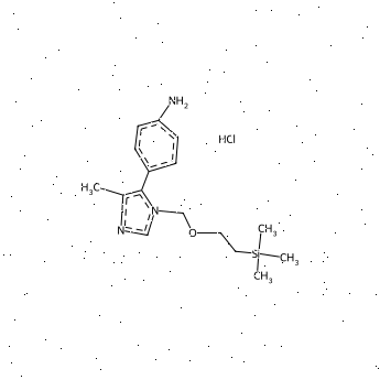 Cc1ncn(COCC[Si](C)(C)C)c1-c1ccc(N)cc1.Cl